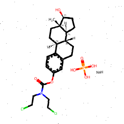 C[C@]12CC[C@@H]3c4ccc(OC(=O)N(CCCl)CCCl)cc4CC[C@H]3[C@@H]1CC[C@@H]2O.O=P(O)(O)O.[NaH]